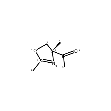 CC(=O)[C@@]1(C)COS(C)=N1